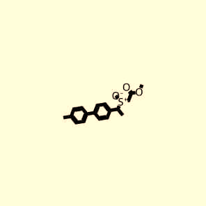 COC(=O)C[S+]([O-])C(C)c1ccc(-c2ccc(C)cc2)cc1